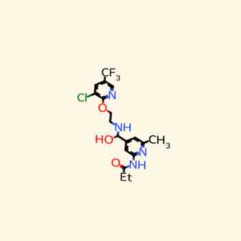 CCC(=O)Nc1cc(C(O)NCCOc2ncc(C(F)(F)F)cc2Cl)cc(C)n1